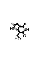 Cc1[nH]c(=O)c(CO)c2[nH]ccc12